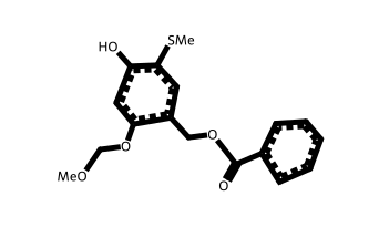 COCOc1cc(O)c(SC)cc1COC(=O)c1ccccc1